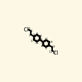 ClCCc1ccc(-c2ccc(CCCl)cc2)cc1